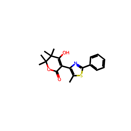 Cc1sc(-c2ccccc2)nc1C1=C(O)C(C)(C)C(C)(C)OC1=O